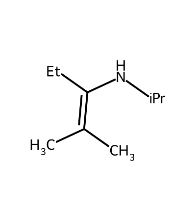 CCC(NC(C)C)=C(C)C